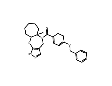 O=C(C1=CC=C(OCc2ccccc2)CC1)N1Cc2cn[nH]c2NC2CCCCC[C@@H]21